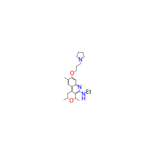 CCNc1nc2cc(OCCCN3CCCC3)c(C)cc2c2c1C(C)OC(C)C2